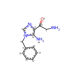 NCC(=O)c1ncn(Cc2ccccc2)c1N